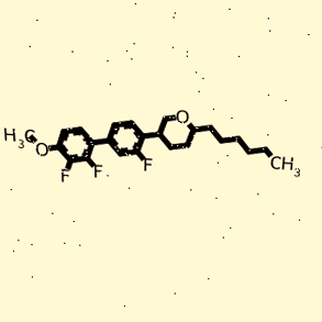 CCCCCCC1CCC(c2ccc(-c3ccc(OC)c(F)c3F)cc2F)CO1